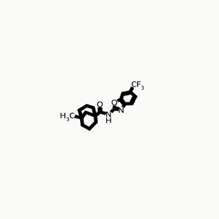 CC12CCCC(C(=O)Nc3nc4ccc(C(F)(F)F)cc4o3)(CCC1)C2